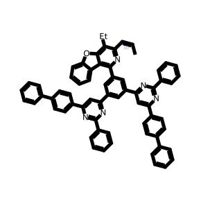 C/C=C\c1nc(-c2cc(-c3cc(-c4ccc(-c5ccccc5)cc4)nc(-c4ccccc4)n3)cc(-c3cc(-c4ccc(-c5ccccc5)cc4)nc(-c4ccccc4)n3)c2)c2c(oc3ccccc32)c1CC